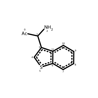 CC(=O)C(N)c1csc2ccccc12